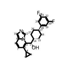 O[C@H](c1c(C2CC2)ccc2cncn12)[C@H]1CC[C@H](c2cc(F)cc(F)c2)CC1